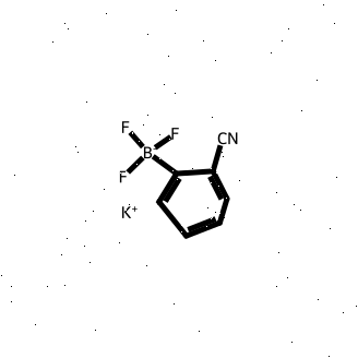 N#Cc1ccccc1[B-](F)(F)F.[K+]